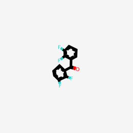 O=C(c1cccc(F)c1F)c1cccc(F)c1F